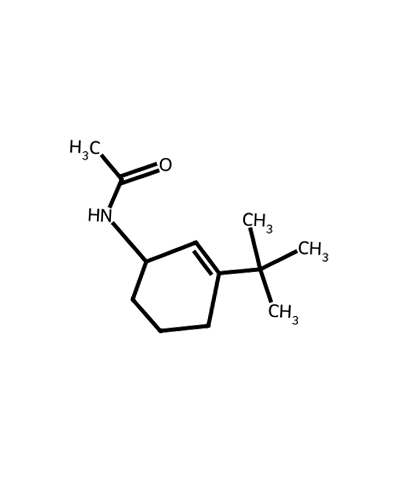 CC(=O)NC1C=C(C(C)(C)C)CCC1